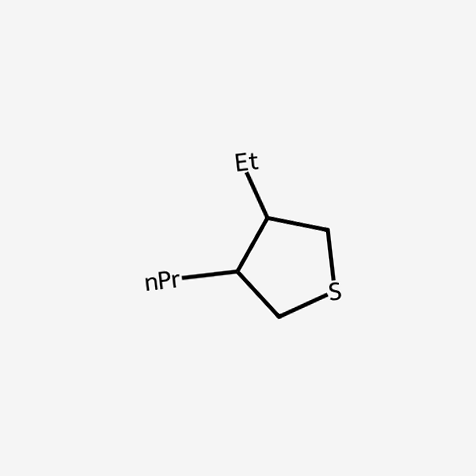 CCCC1CSCC1CC